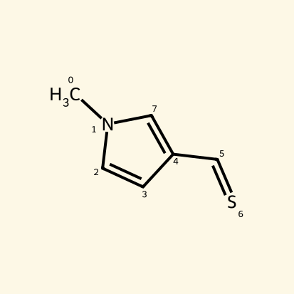 Cn1ccc(C=S)c1